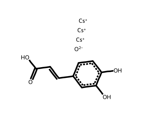 O=C(O)C=Cc1ccc(O)c(O)c1.[Cs+].[Cs+].[Cs+].[O-2]